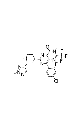 Cn1ncc(C2CC(c3nc(-c4ccc(Cl)cc4F)c4nc(C(F)(F)F)n(C)c(=O)c4n3)CCO2)n1